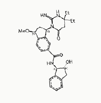 CCC1(CC)CC(=O)N([C@@H]2C[C@H](OC)c3ccc(C(=O)N[C@@H]4c5ccccc5C[C@H]4O)cc32)C(=N)N1